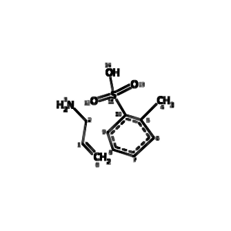 C=CCN.Cc1ccccc1S(=O)(=O)O